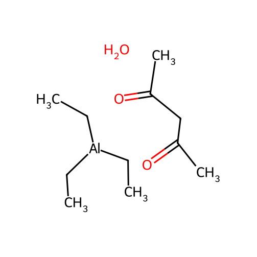 CC(=O)CC(C)=O.C[CH2][Al]([CH2]C)[CH2]C.O